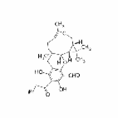 C/C1=C\CC[C@]2(C)Cc3c(O)c(C(=O)CC(C)C)c(O)c(C=O)c3O[C@H]2[C@@H]2[C@H](CC1)C2(C)C